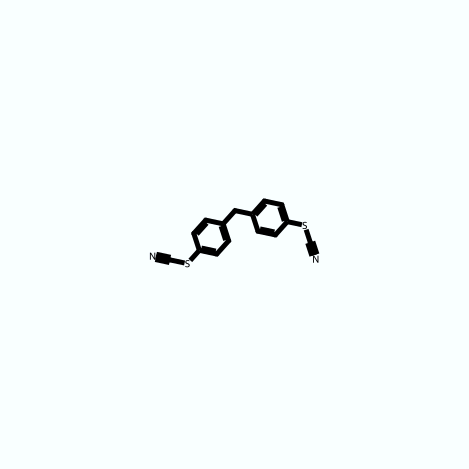 N#CSc1ccc(Cc2ccc(SC#N)cc2)cc1